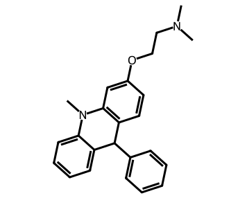 CN(C)CCOc1ccc2c(c1)N(C)c1ccccc1C2c1ccccc1